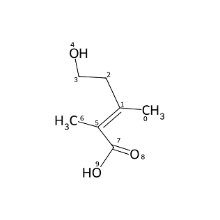 CC(CCO)=C(C)C(=O)O